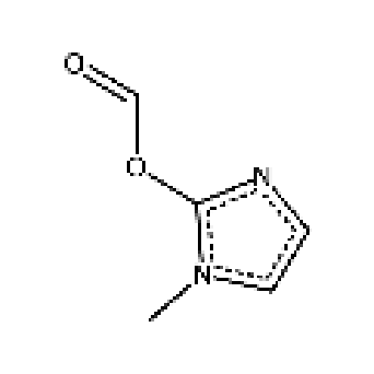 Cn1ccnc1OC=O